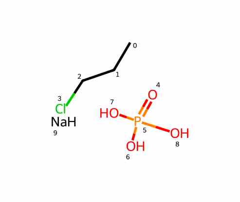 CCCCl.O=P(O)(O)O.[NaH]